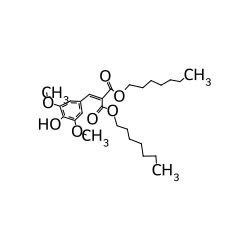 CCCCCCCOC(=O)C(=Cc1cc(OC)c(O)c(OC)c1)C(=O)OCCCCCCC